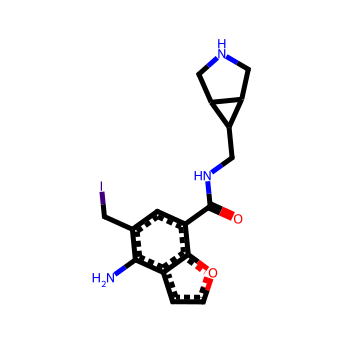 Nc1c(CI)cc(C(=O)NCC2C3CNCC32)c2occc12